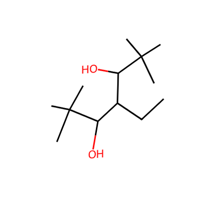 CCC(C(O)C(C)(C)C)C(O)C(C)(C)C